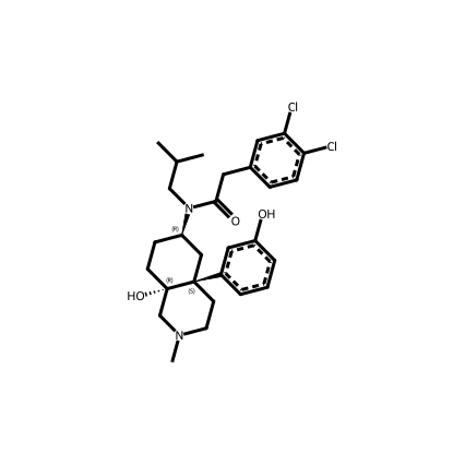 CC(C)CN(C(=O)Cc1ccc(Cl)c(Cl)c1)[C@@H]1CC[C@]2(O)CN(C)CC[C@@]2(c2cccc(O)c2)C1